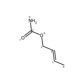 C/C=C/COC(N)=O